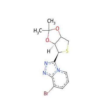 CC1(C)OC2CS[C@@H](c3nnc4c(Br)cccn34)[C@H]2O1